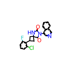 O=C1NC2(CC(c3c(F)cccc3Cl)C2)C(=O)N1c1cncc2ccccc12